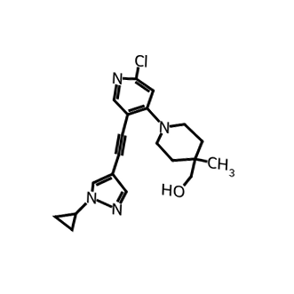 CC1(CO)CCN(c2cc(Cl)ncc2C#Cc2cnn(C3CC3)c2)CC1